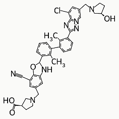 Cc1c(-c2nc3c(Cl)cc(CN4CC[C@@H](O)C4)cn3n2)cccc1-c1cccc(C2Nc3cc(CN4CC[C@@H](C(=O)O)C4)cc(C#N)c3O2)c1C